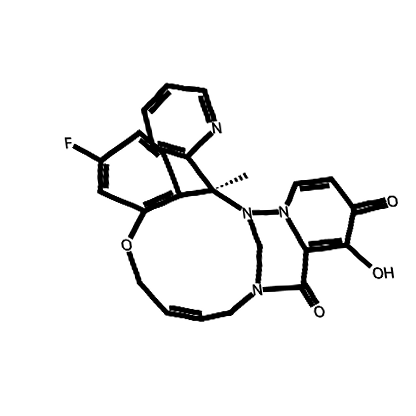 C[C@@]1(c2ccccn2)c2ccc(F)cc2OC/C=C\CN2CN1n1ccc(=O)c(O)c1C2=O